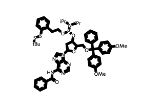 COc1ccc(C(OCC2OC(n3cnc4c(NC(=O)c5ccccc5)ncnc43)CC2OP(OCCc2ccccc2SSC(C)(C)C)N(C(C)C)C(C)C)(c2ccccc2)c2ccc(OC)cc2)cc1